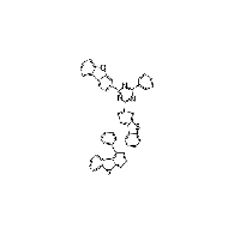 c1ccc(-c2nc(-c3ccc4c(c3)oc3ccccc34)nc(-c3ccc4c(c3)sc3cccc(-c5ccccc5-c5cccc6sc7ccccc7c56)c34)n2)cc1